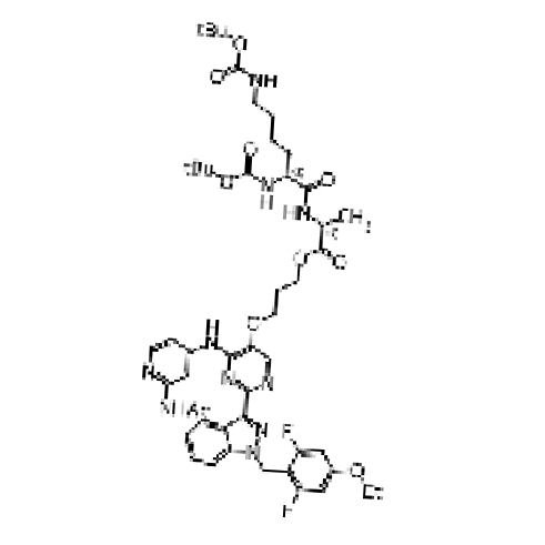 CCOc1cc(F)c(Cn2nc(-c3ncc(OCCCOC(=O)[C@H](C)NC(=O)[C@H](CCCCNC(=O)OC(C)(C)C)NC(=O)OC(C)(C)C)c(Nc4ccnc(NC(C)=O)c4)n3)c3ccccc32)c(F)c1